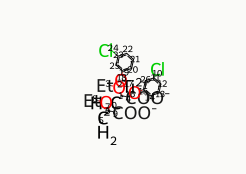 C=C(OCC)C(=O)[O-].C=C(OCC)C(=O)[O-].Clc1cccc([O][Ti+2][O]c2cccc(Cl)c2)c1